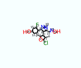 Cc1oc(Cl)c(C)c1-c1c(-c2ccc(O)cc2F)nn(C)c1C=NO